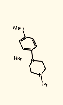 Br.COc1ccc(N2CCN(C(C)C)CC2)cc1